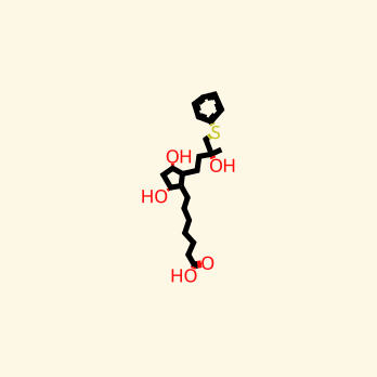 CC(O)(CCC1C(CCCCCCC(=O)O)[C@@H](O)C[C@H]1O)CSc1ccccc1